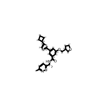 Cc1ccc([C@@H](C)NC(=O)c2cc(OCC3CCOC3)cc(-c3ncc(C4CCC4)s3)c2)nn1